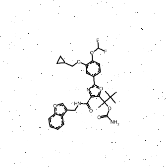 CC(C)(C)C(C)(OC(N)=O)c1oc(-c2ccc(OC(F)F)c(OCC3CC3)c2)nc1C(=O)NCc1coc2ccccc12